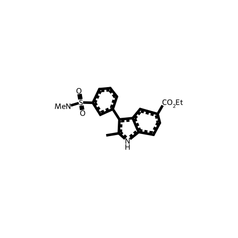 CCOC(=O)c1ccc2[nH]c(C)c(-c3cccc(S(=O)(=O)NC)c3)c2c1